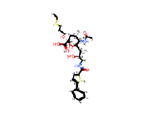 CCSCCCO[C@]1(C(=O)O)C[C@H](C)[C@@H](NC(C)=O)C([C@H](C)[C@H](O)CNC(=O)c2ccc(-c3ccccc3)s2)O1